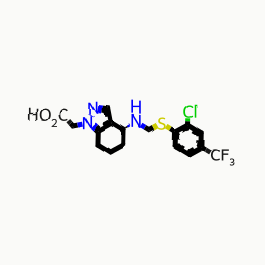 O=C(O)Cn1ncc2c1CCC[C@H]2NCSc1ccc(C(F)(F)F)cc1Cl